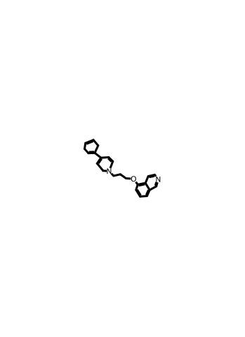 C1=CCC(C2=CCN(CCCOc3cccc4cnccc34)C=C2)=CC1